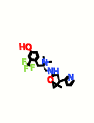 CN(C)[C@H](CNC(=O)C[C@@H](c1cccnc1)C1(C)CC1)Cc1ccc(O)cc1C(F)(F)F